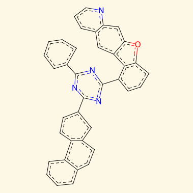 c1ccc(-c2nc(-c3ccc4c(ccc5ccccc54)c3)nc(-c3cccc4oc5cc6ncccc6cc5c34)n2)cc1